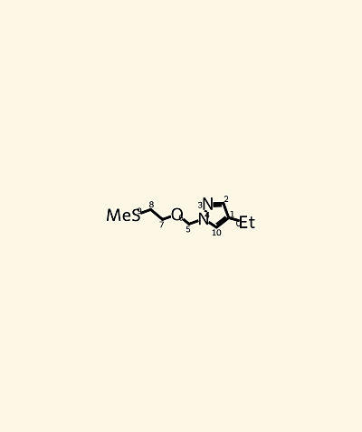 CCc1cnn(COCCSC)c1